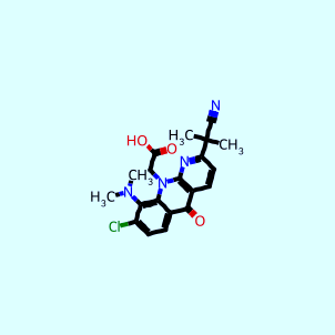 CN(C)c1c(Cl)ccc2c(=O)c3ccc(C(C)(C)C#N)nc3n(CC(=O)O)c12